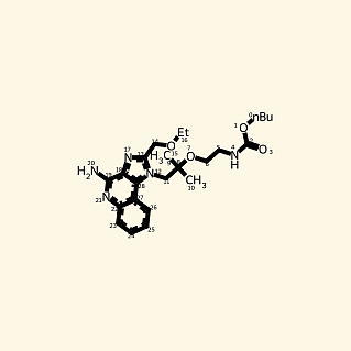 CCCCOC(=O)NCCOC(C)(C)Cn1c(COCC)nc2c(N)nc3ccccc3c21